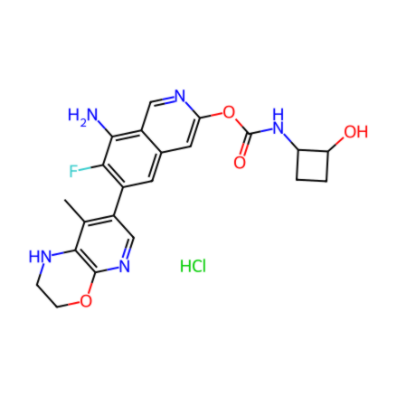 Cc1c(-c2cc3cc(OC(=O)NC4CCC4O)ncc3c(N)c2F)cnc2c1NCCO2.Cl